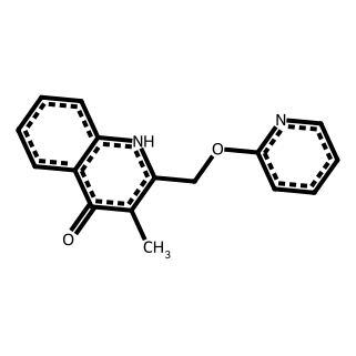 Cc1c(COc2ccccn2)[nH]c2ccccc2c1=O